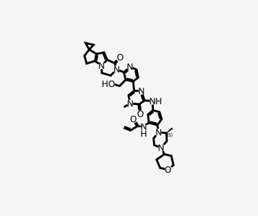 C=CC(=O)Nc1cc(Nc2nc(-c3ccnc(N4CCn5c(cc6c5CCC65CC5)C4=O)c3CO)cn(C)c2=O)ccc1N1CCN(C2CCOCC2)C[C@@H]1C